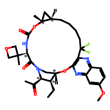 CC[C@@H]1[C@@H]2CN(C(=O)[C@H](C3(C)COC3)NC(=O)O[C@]3(C)C[C@H]3CCCCC(F)(F)c3nc4ccc(OC)cc4nc3O2)[C@@H]1C(C)=O